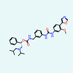 COc1cc(NC(=O)Nc2cccc(CNC(=O)O[C@H](CN(CC(C)C)C(C)C)c3ccccc3)c2)ccc1-c1cnco1